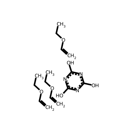 C=COCC.C=COCC.C=COCC.Oc1nc(O)nc(O)n1